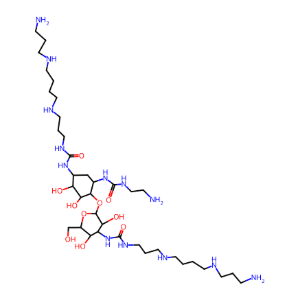 NCCCNCCCCNCCCNC(=O)NC1CC(NC(=O)NCCN)C(OC2OC(CO)C(O)C(NC(=O)NCCCNCCCCNCCCN)C2O)C(O)C1O